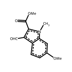 COC(=O)c1c(C=O)c2ccc(OC)cc2n1C